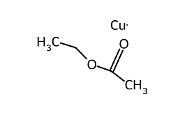 CCOC(C)=O.[Cu]